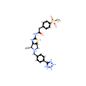 CC(C)[C@H]1c2nc(NC(=O)Cc3ccc(S(C)(=O)=O)cc3)sc2CN1Cc1ccc(-c2nnn[nH]2)cc1